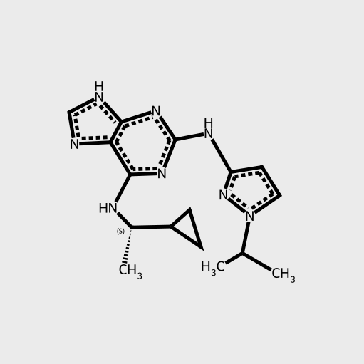 CC(C)n1ccc(Nc2nc(N[C@@H](C)C3CC3)c3nc[nH]c3n2)n1